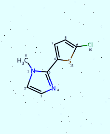 Cn1ccnc1-c1ccc(Cl)s1